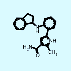 Cc1[nH]c(-c2ccccc2NC2CCc3ccccc32)cc1C(N)=O